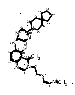 C=N/C=C\SCCN1C=Nc2ccc(Sc3cnc(N4CCC5(CCCC5)CC4)cn3)c(Cl)c2C1=C